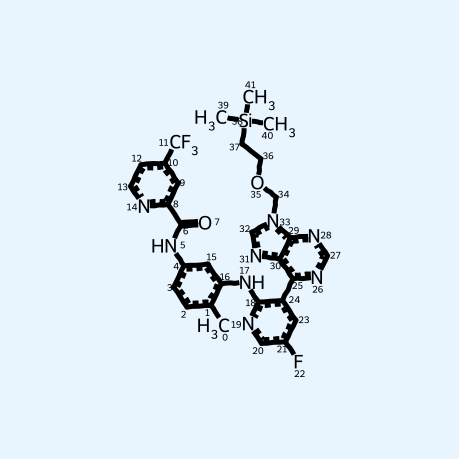 Cc1ccc(NC(=O)c2cc(C(F)(F)F)ccn2)cc1Nc1ncc(F)cc1-c1ncnc2c1ncn2COCC[Si](C)(C)C